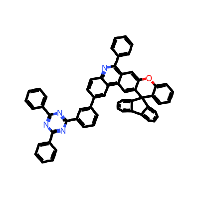 c1ccc(-c2nc(-c3ccccc3)nc(-c3cccc(-c4ccc5nc(-c6ccccc6)c6cc7c(cc6c5c4)C4(c5ccccc5O7)c5ccccc5-c5ccccc54)c3)n2)cc1